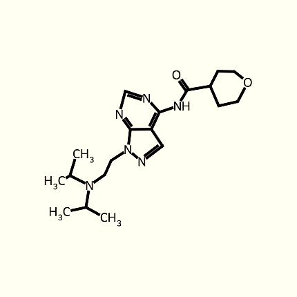 CC(C)N(CCn1ncc2c(NC(=O)C3CCOCC3)ncnc21)C(C)C